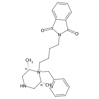 C[C@@H]1CNC[C@H](C)[N+]1(CCCCN1C(=O)c2ccccc2C1=O)Cc1ccccc1